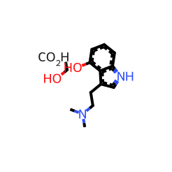 CN(C)CCc1c[nH]c2cccc(O)c12.O=C(O)CO